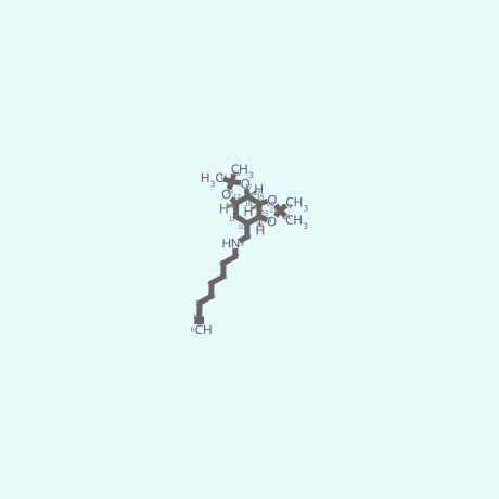 C#CCCCCCCNCC1C[C@H]2OC(C)(C)O[C@H]2[C@H]2OC(C)(C)O[C@@H]12